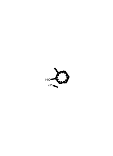 CCCC.Cc1ccccc1O